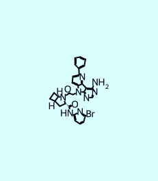 Nc1ncnc2c1c1nc(-c3ccccc3)ccc1n2CC(=O)N1[C@@H]2CC[C@@H]2C[C@H]1C(=O)Nc1cccc(Br)n1